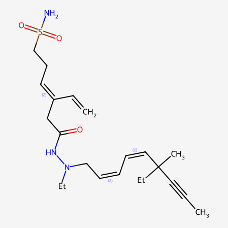 C=C/C(=C\CCS(N)(=O)=O)CC(=O)NN(CC)C/C=C\C=C/C(C)(C#CC)CC